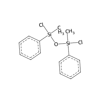 C[Si](Cl)(O[Si](C)(Cl)c1ccccc1)c1ccccc1